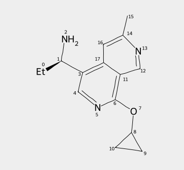 CC[C@@H](N)c1cnc(OC2CC2)c2cnc(C)cc12